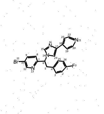 Fc1ccc(CC(c2ccc(Br)cn2)n2cnc(-c3ccncc3)c2)cc1